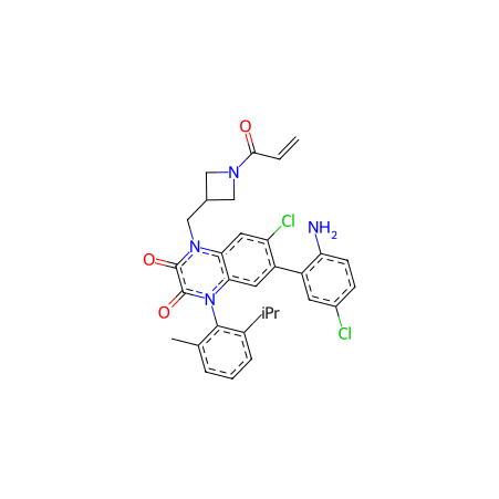 C=CC(=O)N1CC(Cn2c(=O)c(=O)n(-c3c(C)cccc3C(C)C)c3cc(-c4cc(Cl)ccc4N)c(Cl)cc32)C1